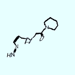 N=N/C=C\NCC(=O)N1CCCCC1